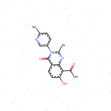 CCCC(=O)c1c(O)ccc2c(=O)n(-c3ccc(C#N)nc3)c(C(C)C)nc12